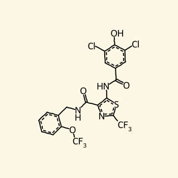 O=C(Nc1sc(C(F)(F)F)nc1C(=O)NCc1ccccc1OC(F)(F)F)c1cc(Cl)c(O)c(Cl)c1